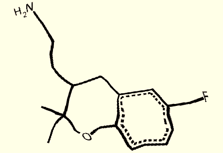 CC1(C)Oc2ccc(F)cc2CC1CCN